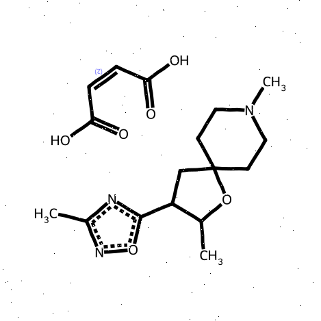 Cc1noc(C2CC3(CCN(C)CC3)OC2C)n1.O=C(O)/C=C\C(=O)O